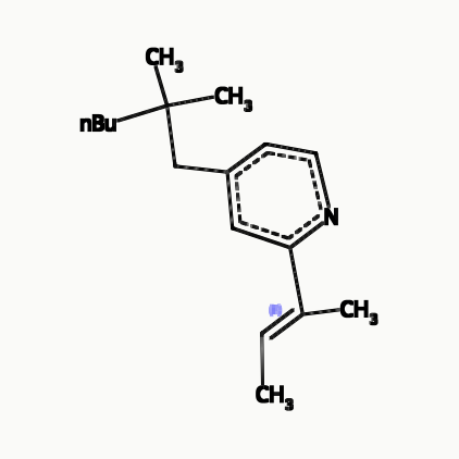 C/C=C(\C)c1cc(CC(C)(C)CCCC)ccn1